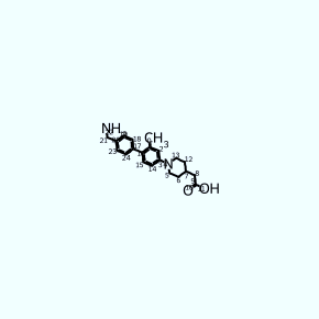 Cc1cc(N2CCC(CC(=O)O)CC2)ccc1-c1ccc(CN)cc1